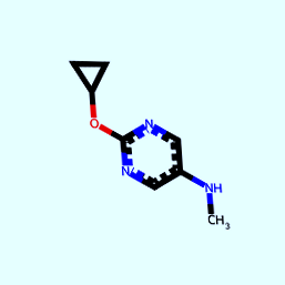 CNc1cnc(OC2CC2)nc1